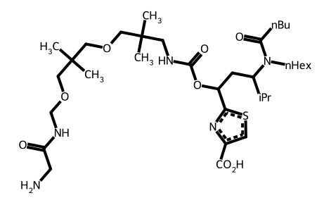 CCCCCCN(C(=O)CCCC)C(CC(OC(=O)NCC(C)(C)COCC(C)(C)COCNC(=O)CN)c1nc(C(=O)O)cs1)C(C)C